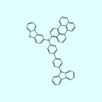 c1ccc(-c2cccc3cccc(-c4ccc(N(c5ccc(-c6ccc(-n7c8ccccc8c8ccccc87)cc6)cc5)c5ccc6oc7ccccc7c6c5)cc4)c23)cc1